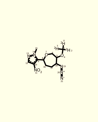 [2H]C([2H])([2H])OC1COC(c2c([N+](=O)[O-])cnn2C)CCC1N=[N+]=[N-]